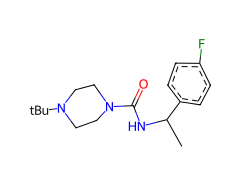 CC(NC(=O)N1CCN(C(C)(C)C)CC1)c1ccc(F)cc1